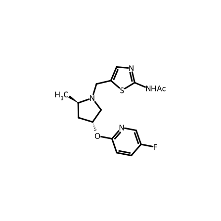 CC(=O)Nc1ncc(CN2C[C@H](Oc3ccc(F)cn3)C[C@H]2C)s1